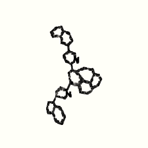 c1ccc2cc(-c3ccc(-c4cc(-c5ccc(-c6cccc7ccccc67)cn5)c5ccc6cccc7ccc4c5c76)nc3)ccc2c1